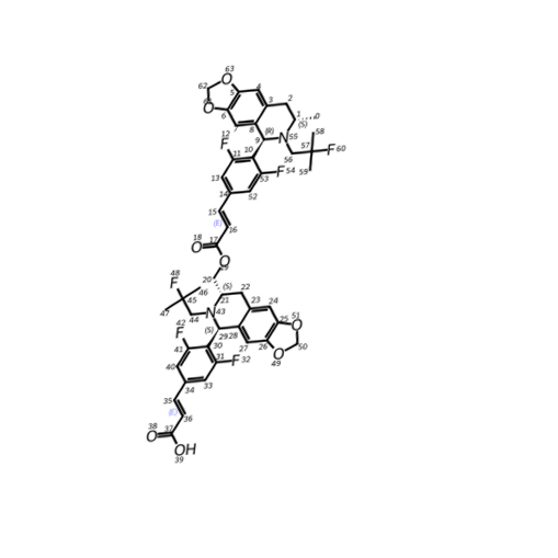 C[C@H]1Cc2cc3c(cc2[C@H](c2c(F)cc(/C=C/C(=O)OC[C@@H]4Cc5cc6c(cc5[C@@H](c5c(F)cc(/C=C/C(=O)O)cc5F)N4CC(C)(C)F)OCO6)cc2F)N1CC(C)(C)F)OCO3